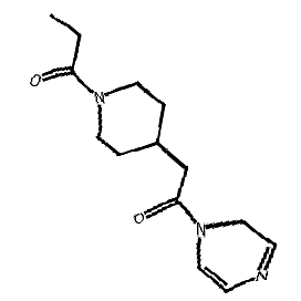 CCC(=O)N1CCC(CC(=O)N2C=CN=CC2)CC1